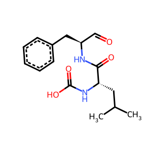 CC(C)C[C@H](NC(=O)O)C(=O)N[C@H](C=O)Cc1ccccc1